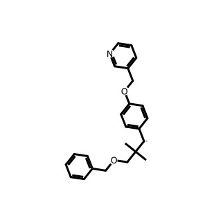 CC(C)([CH]c1ccc(OCc2cccnc2)cc1)COCc1ccccc1